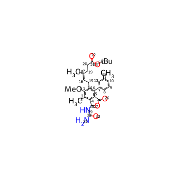 COc1c(C)c2c(c(-c3cccc(C)c3)c1CC=C(C)CCC(=O)OC(C)(C)C)C(=O)OC2NC(N)=O